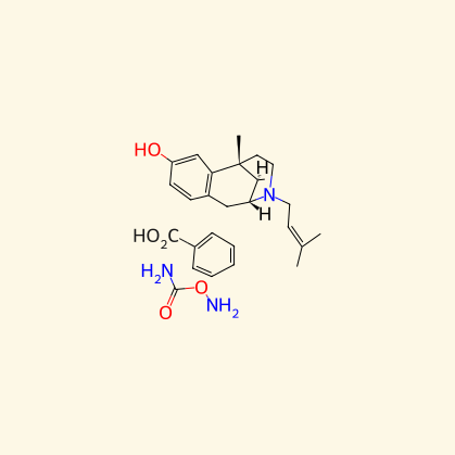 CC(C)=CCN1CC[C@@]2(C)c3cc(O)ccc3C[C@@H]1[C@@H]2C.NOC(N)=O.O=C(O)c1ccccc1